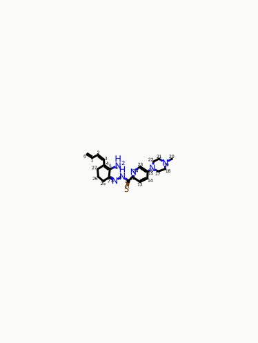 C=C/C=C\C1=C(N)C(=N\NC(=S)c2ccc(N3CCN(C)CC3)cn2)/CCC1